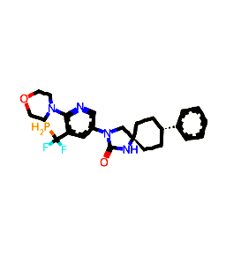 O=C1N[C@]2(CC[C@@H](c3ccccc3)CC2)CN1c1cnc(N2CCOCC2)c(C(F)(F)P)c1